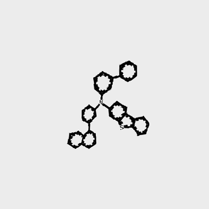 c1ccc(-c2cccc(N(c3cccc(-c4cccc5ccccc45)c3)c3ccc4c(c3)sc3ccccc34)c2)cc1